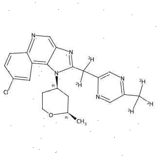 [2H]C([2H])([2H])c1cnc(C([2H])([2H])c2nc3cnc4ccc(Cl)cc4c3n2[C@@H]2CCO[C@H](C)C2)cn1